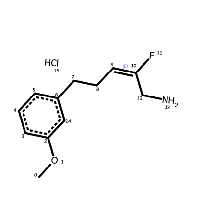 COc1cccc(CC/C=C(/F)CN)c1.Cl